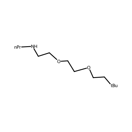 CCCNCCOCCOCCC(C)(C)C